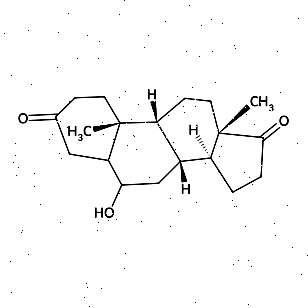 C[C@]12CCC(=O)CC1C(O)C[C@@H]1[C@H]2CC[C@]2(C)C(=O)CC[C@@H]12